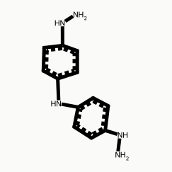 NNc1ccc(Nc2ccc(NN)cc2)cc1